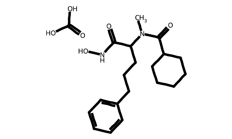 CN(C(=O)C1CCCCC1)C(CCCc1ccccc1)C(=O)NO.O=C(O)O